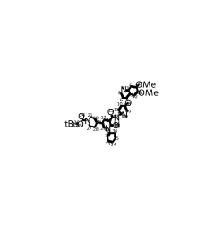 COc1cc2nccc(Oc3ccc(NC(=O)c4cc(C5=CCN(C(=O)OC(C)(C)C)CC5)cn(-c5ccccc5)c4=O)nc3)c2cc1OC